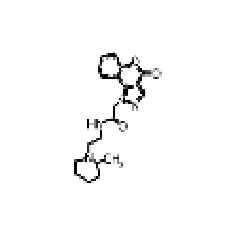 CC1CCCCN1CCNC(=O)Cn1ncc2c(=O)oc3ccccc3c21